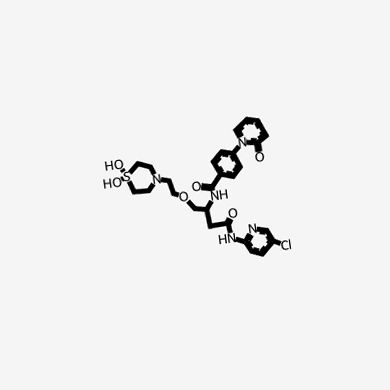 O=C(CC(COCCN1CCS(O)(O)CC1)NC(=O)c1ccc(-n2ccccc2=O)cc1)Nc1ccc(Cl)cn1